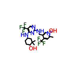 Cc1cc(C(F)(F)F)c(CNc2ncc(C(F)(F)F)c(N[C@@H]3CC[C@H](O)C(C)(C)C3)n2)c[n+]1O